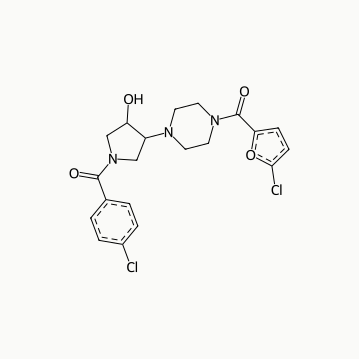 O=C(c1ccc(Cl)cc1)N1CC(O)C(N2CCN(C(=O)c3ccc(Cl)o3)CC2)C1